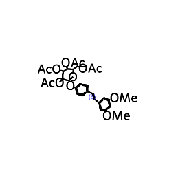 COc1cc(/C=C/c2ccc(OC3OC(COC(C)=O)C(OC(C)=O)C(OC(C)=O)C3OC(C)=O)cc2)cc(OC)c1